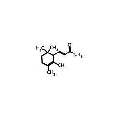 CC(=O)C=CC1C(C)=C(C)CCC1(C)C